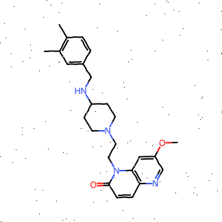 COc1cnc2ccc(=O)n(CCN3CCC(NCc4ccc(C)c(C)c4)CC3)c2c1